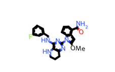 COc1cc2c(C(N)=O)cccc2n1-c1nc2c(c(NCc3cccc(F)c3)n1)NCCC2